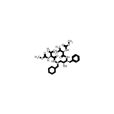 COC(=O)N[C@H](C(=O)N[C@@H](Cc1ccccc1)[C@H](O)CN(CC1CCCCC1)NC(=O)[C@@H](NC(=O)OC)C(C)C)C(C)C